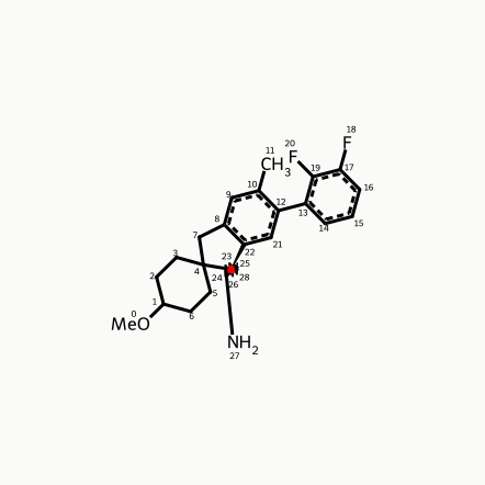 COC1CCC2(CC1)Cc1cc(C)c(-c3cccc(F)c3F)cc1[C@@]21N=CC(N)=N1